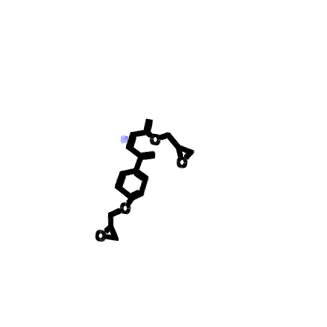 C=C(/C=C\C(=C)c1ccc(OCC2CO2)cc1)OCC1CO1